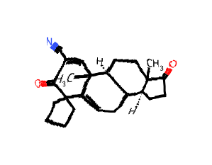 CC12C=C(C#N)C(=O)C3(CCCC3)C1=CCC1[C@@H]2CCC2(C)C(=O)CC[C@@H]12